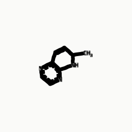 CC1C=Cc2nccnc2N1